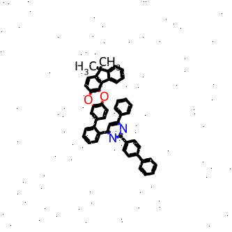 CC1(C)c2ccccc2-c2c1ccc1c2Oc2ccc(-c3ccccc3-c3cc(-c4ccccc4)nc(-c4ccc(-c5ccccc5)cc4)n3)cc2O1